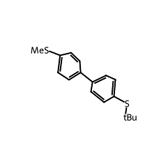 CSc1ccc(-c2ccc(SC(C)(C)C)cc2)cc1